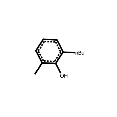 [CH2]c1cccc(CCCC)c1O